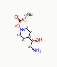 CC(C)(C)OC(=O)ON1CCC(C(O)CN)CC1